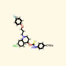 COc1ccc(NC(=S)OC2CCN(CCCOc3ccc(F)cc3)C3CCCCC23)cc1.Cl